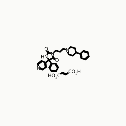 O=C(O)C=CC(=O)O.O=C1NC(c2ccccc2)(c2ccncc2)C(=O)N1CCCN1CCC(c2ccccc2)CC1